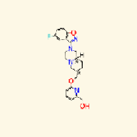 OCc1cccc(OC[C@@H]2CC[C@H]3CN(c4noc5ccc(F)cc45)CCN3C2)n1